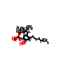 CCCCCc1cc(O)c(OC(=O)O)cc1C[Si](CC)(CC)CC